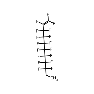 CCC(F)(F)C(F)(F)C(F)(F)C(F)(F)C(F)(F)C(F)(F)C(F)(F)C(F)=C(F)F